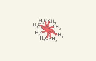 CCCCCCCCc1cc(CCCCCCCC)cc(C2(c3cc(CCCCCCCC)cc(CCCCCCCC)c3)c3c(sc4cc(C=O)sc34)-c3sc4c5c(sc4c32)-c2sc3cc(C=O)sc3c2C5(c2cc(CCCCCCCC)cc(CCCCCCCC)c2)c2cc(CCCCCCCC)cc(CCCCCCCC)c2)c1